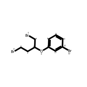 BrCCC(CBr)Oc1cccc(Br)c1